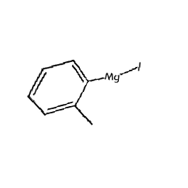 Cc1cccc[c]1[Mg][I]